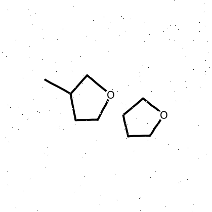 C1CCOC1.CC1CCOC1